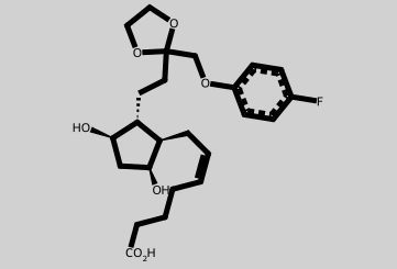 O=C(O)CCC/C=C\C[C@@H]1[C@@H](CCC2(COc3ccc(F)cc3)OCCO2)[C@H](O)C[C@@H]1O